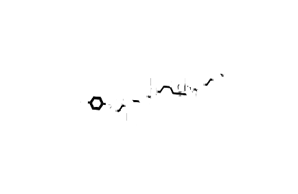 C=C(OSc1ccc(C)cc1)C(=O)OCCOC(=O)NCCC(C)CC(C)(C)CNC(=O)OCCOC=O